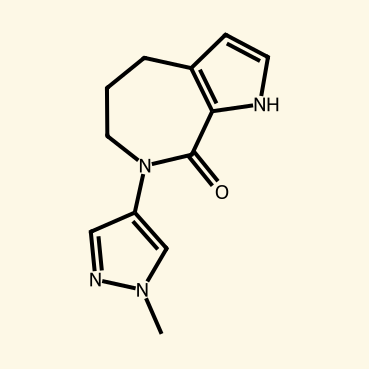 Cn1cc(N2CCCc3cc[nH]c3C2=O)cn1